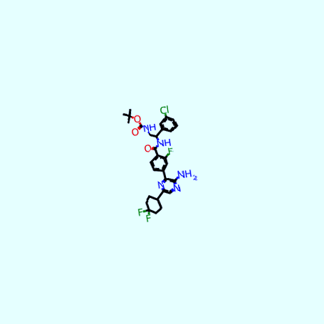 CC(C)(C)OC(=O)NCC(NC(=O)c1ccc(-c2nc(C3CCC(F)(F)CC3)cnc2N)cc1F)c1cccc(Cl)c1